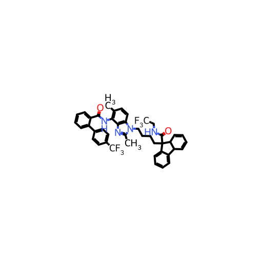 Cc1ccc2c(nc(C)n2CCCCC2(C(=O)NCC(F)(F)F)c3ccccc3C3C=CC=CC32)c1NC(=O)c1ccccc1-c1ccc(C(F)(F)F)cc1